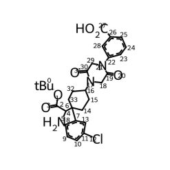 CC(C)(C)OC(=O)C(N)C1(c2cccc(Cl)c2)CCC(N2CC(=O)N(c3cccc(C(=O)O)c3)CC2=O)CC1